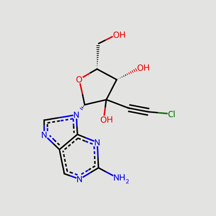 Nc1ncc2ncn([C@@H]3O[C@H](CO)[C@H](O)C3(O)C#CCl)c2n1